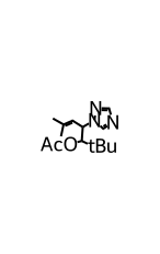 CC(=O)OC(C(C=C(C)C)n1cncn1)C(C)(C)C